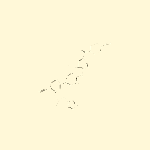 COc1cc(C(=O)N2CCN(C3CC3)CC2)ccc1Nc1ncc(-c2ccc(C#N)c(OC(C)Cn3cncn3)c2)cn1